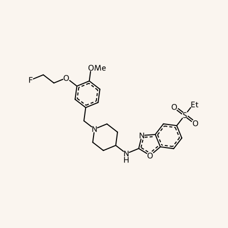 CCS(=O)(=O)c1ccc2oc(NC3CCN(Cc4ccc(OC)c(OCCF)c4)CC3)nc2c1